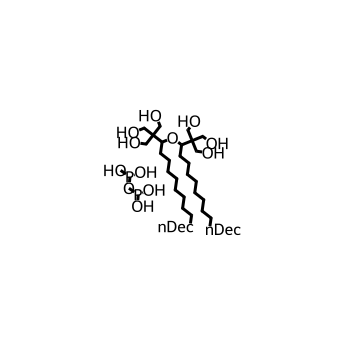 CCCCCCCCCCCCCCCCCCC(OC(CCCCCCCCCCCCCCCCCC)C(CO)(CO)CO)C(CO)(CO)CO.OP(O)OP(O)O